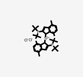 Cc1ccc(C)c2c1C=C(P(C(C)(C)C)C(C)(C)C)[CH]2[Ti+2][CH]1C(P(C(C)(C)C)C(C)(C)C)=Cc2c(C)ccc(C)c21.[Cl-].[Cl-]